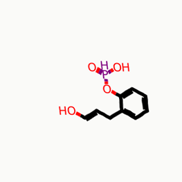 O=[PH](O)Oc1ccccc1CC=CO